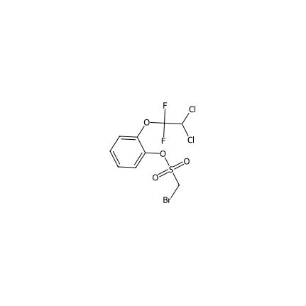 O=S(=O)(CBr)Oc1ccccc1OC(F)(F)C(Cl)Cl